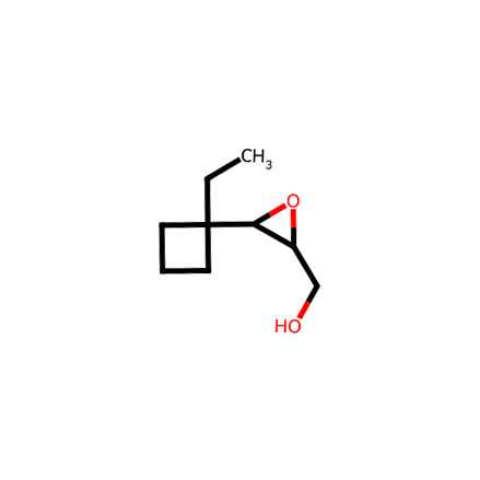 CCC1(C2OC2CO)CCC1